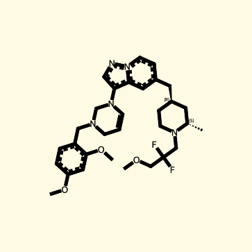 COCC(F)(F)CN1CC[C@@H](Cc2ccn3ncc(N4C=CCN(Cc5ccc(OC)cc5OC)C4)c3c2)C[C@@H]1C